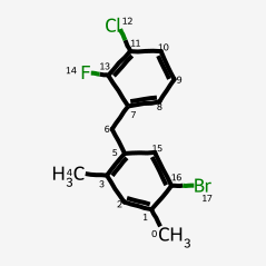 Cc1cc(C)c(Cc2cccc(Cl)c2F)cc1Br